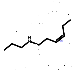 CC/C=C\CCNCCC